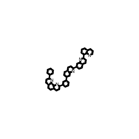 c1ccc(-c2ccc3ccc4ccc(-c5cccc(-c6ccc7ccc(-c8ccc9ccc(-c%10cccc%11cccnc%10%11)nc9c8)nc7c6)c5)nc4c3n2)cc1